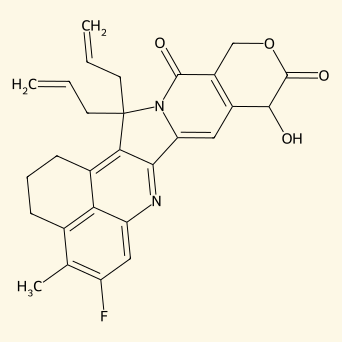 C=CCC1(CC=C)c2c(nc3cc(F)c(C)c4c3c2CCC4)-c2cc3c(c(=O)n21)COC(=O)C3O